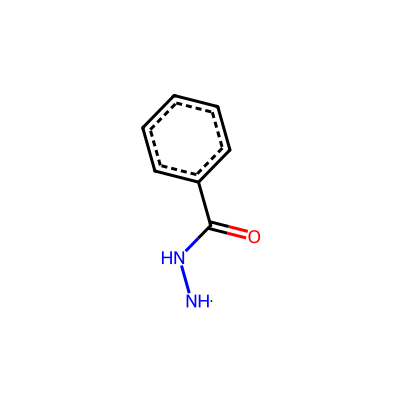 [NH]NC(=O)c1ccccc1